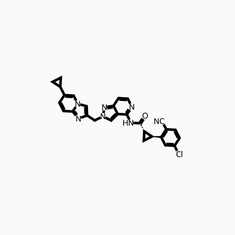 N#Cc1ccc(Cl)cc1[C@H]1C[C@@H]1C(=O)Nc1nccc2nn(Cc3cn4cc(C5CC5)ccc4n3)cc12